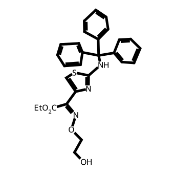 CCOC(=O)C(=NOCCO)c1csc(NC(c2ccccc2)(c2ccccc2)c2ccccc2)n1